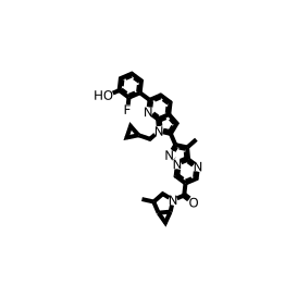 Cc1c(-c2cc3ccc(-c4cccc(O)c4F)nc3n2CC2CC2)nn2cc(C(=O)N3CC(C)C4CC43)cnc12